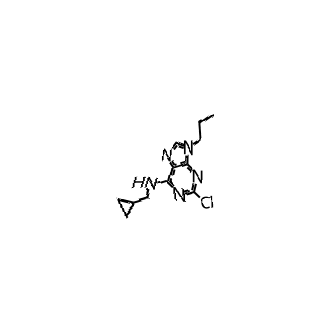 CCCn1cnc2c(NCC3CC3)nc(Cl)nc21